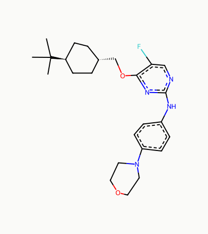 CC(C)(C)[C@H]1CC[C@H](COc2nc(Nc3ccc(N4CCOCC4)cc3)ncc2F)CC1